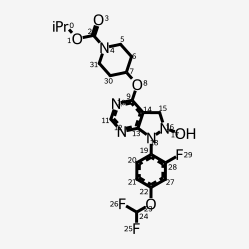 CC(C)OC(=O)N1CCC(Oc2ncnc3c2CN(O)N3c2ccc(OC(F)F)cc2F)CC1